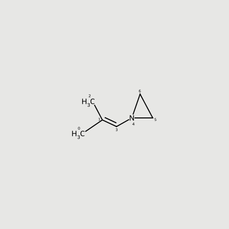 CC(C)=CN1CC1